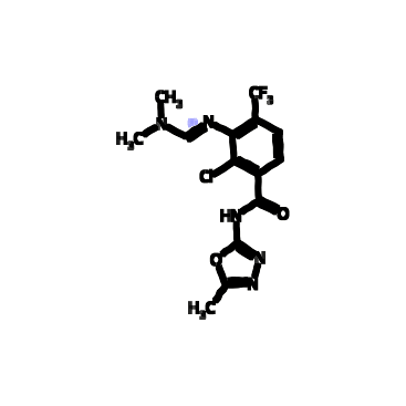 Cc1nnc(NC(=O)c2ccc(C(F)(F)F)c(/N=C/N(C)C)c2Cl)o1